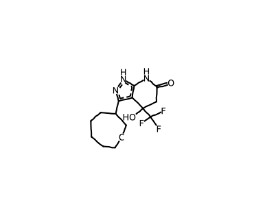 O=C1CC(O)(C(F)(F)F)c2c(C3CCCCCCC3)n[nH]c2N1